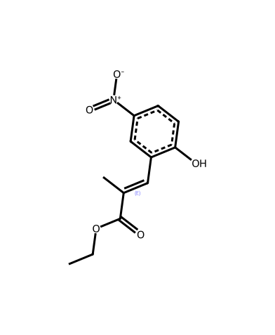 CCOC(=O)/C(C)=C/c1cc([N+](=O)[O-])ccc1O